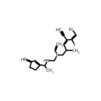 C#CC(=C/C(C)CN(C=C)CNC(C)C1=CC(=N)CC1)/C(F)=C\CC